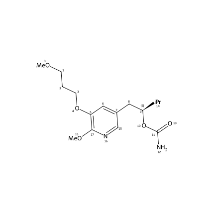 COCCCOc1cc(C[C@H](OC(N)=O)C(C)C)cnc1OC